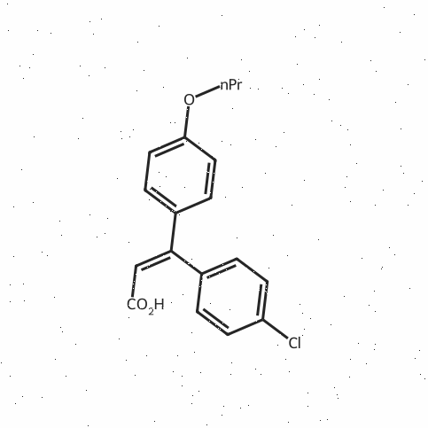 CCCOc1ccc(C(=CC(=O)O)c2ccc(Cl)cc2)cc1